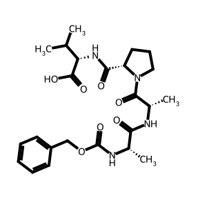 CC(C)[C@H](NC(=O)[C@@H]1CCCN1C(=O)[C@H](C)NC(=O)[C@H](C)NC(=O)OCc1ccccc1)C(=O)O